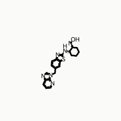 ON=C1CCCC[C@H]1Nc1nc2ccc(Cn3cnc4cccnc43)cc2s1